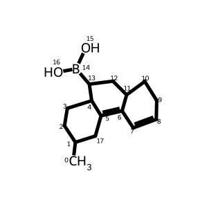 CC1CCC2C(=C3C=CCCC3CC2B(O)O)C1